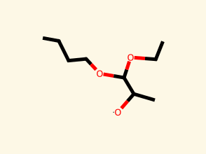 CCCCOC(OCC)C(C)[O]